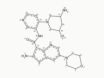 Nc1sc2cc(N3CCOCC3)cnc2c1C(=O)Nc1cnccc1N1CC(N)CC(C(F)(F)F)C1